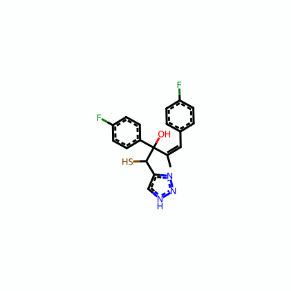 CC(=Cc1ccc(F)cc1)C(O)(c1ccc(F)cc1)C(S)c1c[nH]nn1